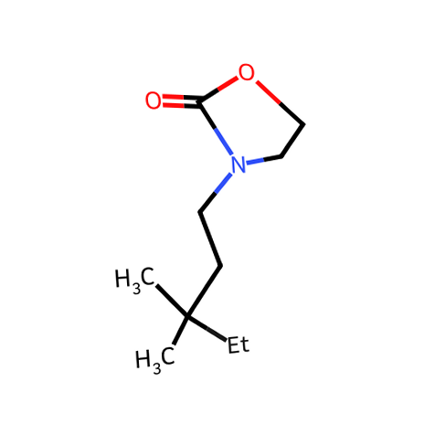 CCC(C)(C)CCN1CCOC1=O